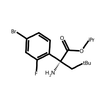 CC(C)OC(=O)[C@@](N)(CC(C)(C)C)c1ccc(Br)cc1F